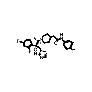 C[C@@H](N1CCC(CC(=O)Nc2ccc(F)cc2)CC1)[C@](O)(Cn1cncn1)c1ccc(F)cc1F